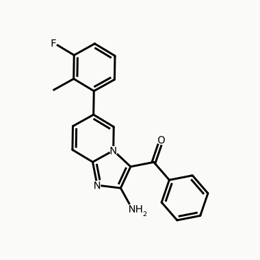 Cc1c(F)cccc1-c1ccc2nc(N)c(C(=O)c3ccccc3)n2c1